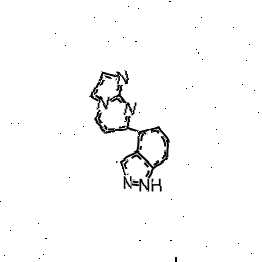 [c]1n[nH]c2cccc(-c3ccn4ccnc4n3)c12